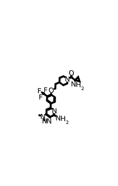 Cn1nnc2c(N)nc(-c3ccc(OCCC4CCN(C(=O)C5(N)CC5)CC4)c(C(F)(F)F)c3)cc21